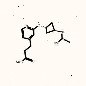 CSC(=O)CCc1ccnc(O[C@H]2C[C@H](NC(C)S)C2)c1